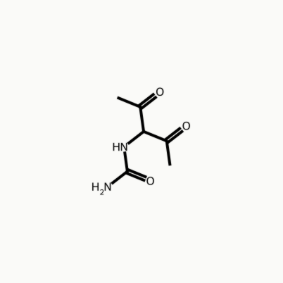 CC(=O)C(NC(N)=O)C(C)=O